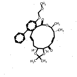 COCOc1ccc(-c2ccccc2)c2c1C(=O)O[C@@H](C)[C@H](C)/C=C\C(=O)[C@H]1OC(C)(C)O[C@H]1C/C=C/2